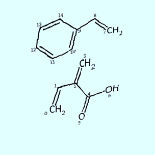 C=CC(=C)C(=O)O.C=Cc1ccccc1